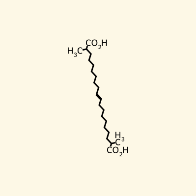 CC(CCCCCCCC=CCCCCCCCC(C)C(=O)O)C(=O)O